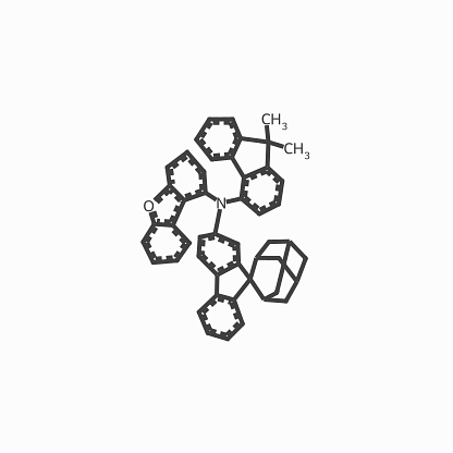 CC1(C)c2ccccc2-c2c(N(c3ccc4c(c3)C3(c5ccccc5-4)C4CC5CC(C4)CC3C5)c3cccc4oc5ccccc5c34)cccc21